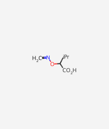 C=NOC(C(=O)O)C(C)C